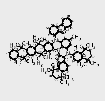 Cc1cc2c3c(c1)N(c1cccc4c1oc1ccccc14)c1cc4c(cc1B3c1sc3c5c(ccc3c1N2c1ccc2c(c1)C(C)(C)CCC2(C)C)C(C)(C)CCC5(C)C)C(C)(C)c1cc2c(cc1C4(C)C)C(C)(C)c1ccccc1C2(C)C